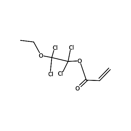 C=CC(=O)OC(Cl)(Cl)C(Cl)(Cl)OCC